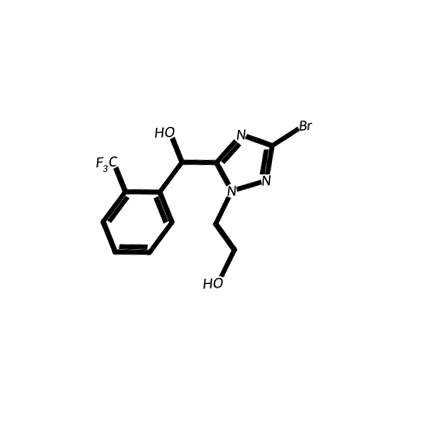 OCCn1nc(Br)nc1C(O)c1ccccc1C(F)(F)F